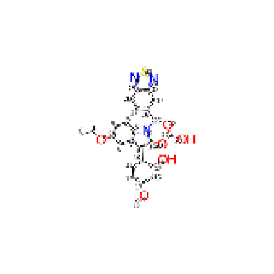 CCOc1ccc2c(c1)c(-c1ccc(OC)cc1O)c(OC(=O)O)n2Cc1ccc2nsnc2c1